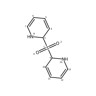 O=S(=O)(C1C=CC=CN1)C1C=CC=CN1